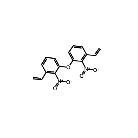 C=Cc1cccc(Oc2cccc(C=C)c2[N+](=O)[O-])c1[N+](=O)[O-]